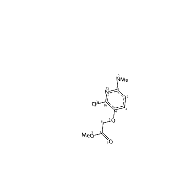 CNc1ccc(OCC(=O)OC)c(Cl)n1